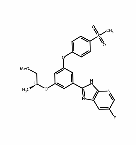 COC[C@H](C)Oc1cc(Oc2ccc(S(C)(=O)=O)cc2)cc(-c2nc3cc(F)cnc3[nH]2)c1